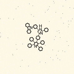 C1=C(c2cccc(-n3c4ccccc4c4ccccc43)c2)NC(c2ccccc2)N=C1c1ccc(-c2c(-c3ccccc3)c(-c3ccccc3)nc(-c3ccccc3)c2-c2ccccc2)cc1